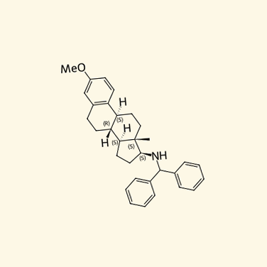 COc1ccc2c(c1)CC[C@@H]1[C@@H]2CC[C@]2(C)[C@@H](NC(c3ccccc3)c3ccccc3)CC[C@@H]12